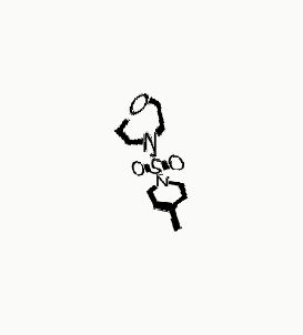 CC1=CCN(S(=O)(=O)N2CCOCC2)CC1